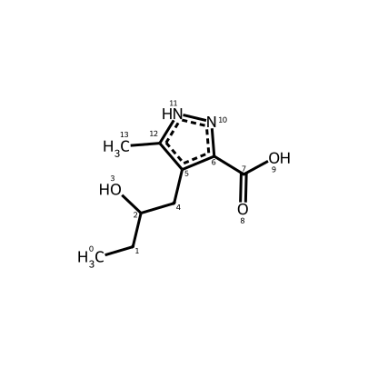 CCC(O)Cc1c(C(=O)O)n[nH]c1C